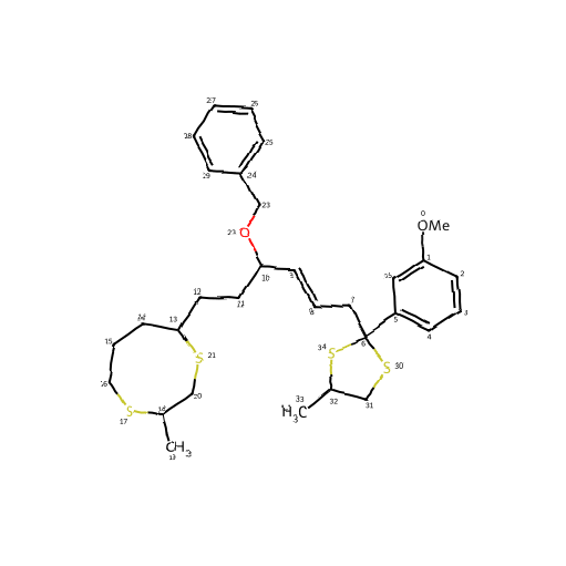 COc1cccc(C2(C/C=C/C(CCC3CCCSC(C)CS3)OCc3ccccc3)SCC(C)S2)c1